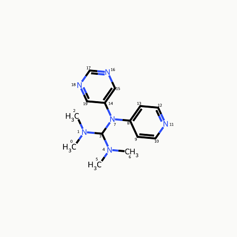 CN(C)C(N(C)C)N(c1ccncc1)c1cncnc1